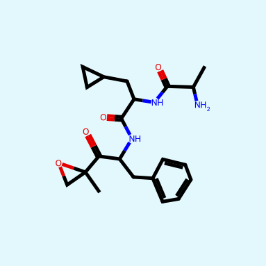 CC(N)C(=O)NC(CC1CC1)C(=O)NC(Cc1ccccc1)C(=O)C1(C)CO1